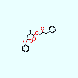 C=C(CC(=O)Oc1ccccc1)C(=O)OCC(=O)Cc1ccccc1